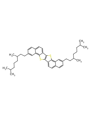 CC(C)CCCC(C)CCc1ccc2ccc3c(sc4c5ccc6ccc(CCC(C)CCCC(C)C)cc6c5sc34)c2c1